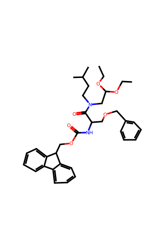 CCOC(CN(CCC(C)C)C(=O)C(COCc1ccccc1)NC(=O)OCC1c2ccccc2-c2ccccc21)OCC